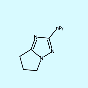 CCCc1nc2n(n1)CCC2